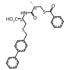 C[C@H](CSC(=O)c1ccccc1)C(=O)N[C@@H](CSCc1ccc(-c2ccccc2)cc1)C(=O)O